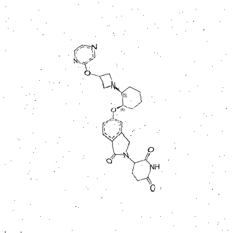 O=C1CCC(N2Cc3cc(O[C@@H]4CCCC[C@@H]4N4CC(Oc5cnccn5)C4)ccc3C2=O)C(=O)N1